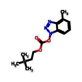 Cc1cccc2c1nnn2OC(=O)OCC[Si](C)(C)C